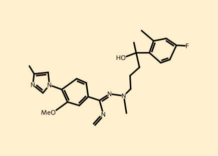 C=N/C(=N\N(C)CCCC(C)(O)c1ccc(F)cc1C)c1ccc(-n2cnc(C)c2)c(OC)c1